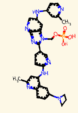 Cc1cc(Nc2cnc3nc(-c4ccc(Nc5cc(C)nc6ccc(N7CCC7)cc56)nc4)n(COP(=O)(O)O)c3c2)ccn1